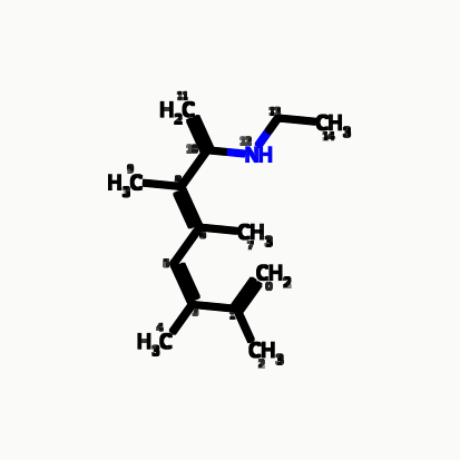 C=C(C)/C(C)=C\C(C)=C(/C)C(=C)NCC